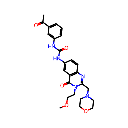 COCCn1c(CN2CCOCC2)nc2ccc(NC(=O)Nc3cccc(C(C)=O)c3)cc2c1=O